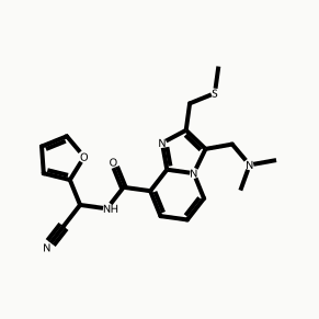 CSCc1nc2c(C(=O)NC(C#N)c3ccco3)cccn2c1CN(C)C